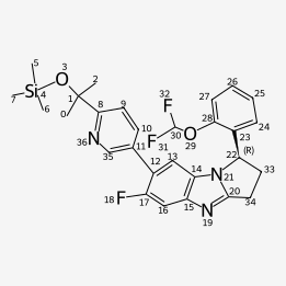 CC(C)(O[Si](C)(C)C)c1ccc(-c2cc3c(cc2F)nc2n3[C@@H](c3ccccc3OC(F)F)CC2)cn1